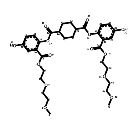 COCCOCCOC(=O)c1cc(O)ccc1OC(=O)C1CCC(C(=O)Oc2ccc(O)cc2C(=O)OCCOCCOC)CC1